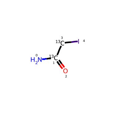 N[13C](=O)[13CH2]I